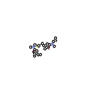 CC1(C)c2ccccc2-c2ccc(N(c3ccccc3)c3ccc4c5c(ccc4c3)-c3c(ccc4c(-c6ccc7sc8c(N(c9ccccc9)c9ccc%10c%11c(ccc%10c9)-c9c(ccc%10ccccc9%10)C%119c%10ccccc%10-c%10ccccc%109)cccc8c7c6)cccc34)C53c4ccccc4-c4ccccc43)cc21